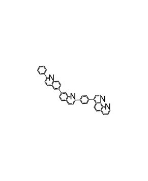 c1ccc(-c2ccc3cc(-c4ccc5ccc(-c6ccc(-c7ccnc8c7ccc7cccnc78)cc6)nc5c4)ccc3n2)cc1